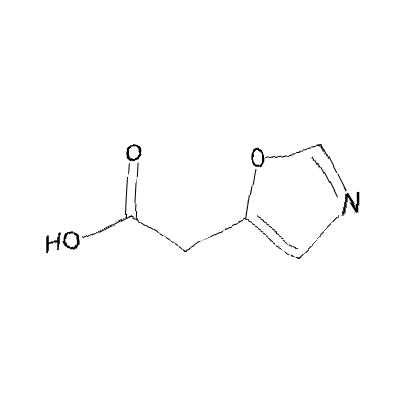 O=C(O)Cc1cnco1